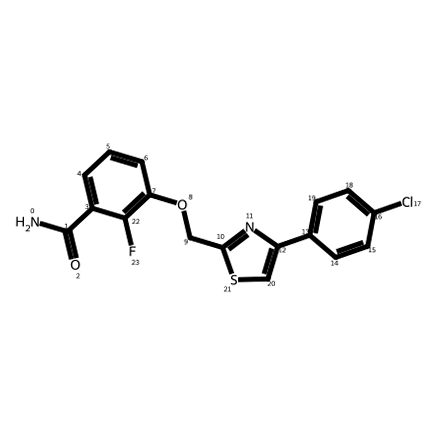 NC(=O)c1cccc(OCc2nc(-c3ccc(Cl)cc3)cs2)c1F